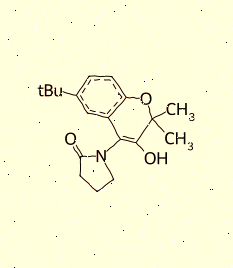 CC1(C)Oc2ccc(C(C)(C)C)cc2C(N2CCCC2=O)=C1O